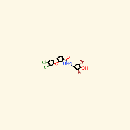 O=C(NN=Cc1cc(Br)c(O)c(Br)c1)c1cccc(Oc2ccc(Cl)c(Cl)c2)c1